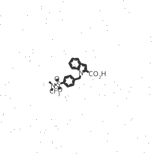 CN(C(F)(F)F)S(=O)(=O)c1ccc(Cn2c(C(=O)O)cc3ccccc32)cc1